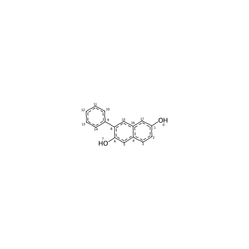 Oc1ccc2cc(O)c(-c3ccccc3)cc2c1